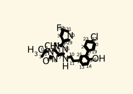 CC1(C)COc2nc3c(NCCc4ccc(O)c(-c5ccc(Cl)cc5)c4)nc(-c4cncc(F)c4)nc3n21